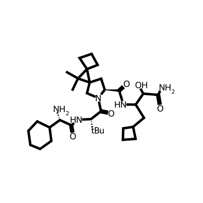 CC(C)(C)[C@H](NC(=O)[C@@H](N)C1CCCCC1)C(=O)N1CC2(C[C@H]1C(=O)NC(CC1CCC1)C(O)C(N)=O)C(C)(C)C21CCC1